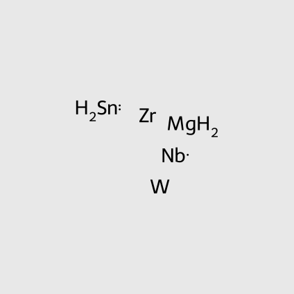 [MgH2].[Nb].[SnH2].[W].[Zr]